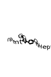 CCCCCCCOc1ccc(C2CC(CCCCC)C(=O)O2)cc1